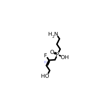 NCCCP(=O)(O)C/C(F)=C\CO